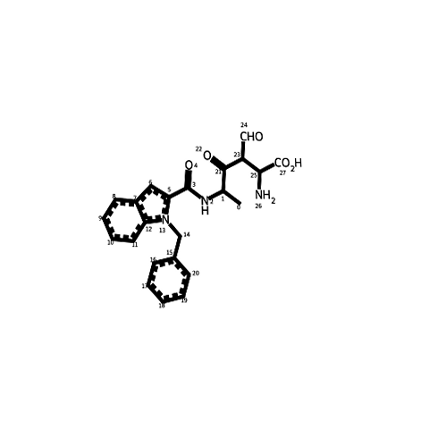 CC(NC(=O)c1cc2ccccc2n1Cc1ccccc1)C(=O)C(C=O)C(N)C(=O)O